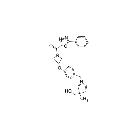 CC1(CO)C=C[N+](Cc2ccc(OC3CN(C(=O)c4nnc(-c5ccccc5)o4)C3)cc2)=C1